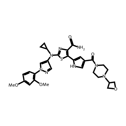 COc1ccc(-n2cc(N(c3nc(C(N)=O)c(-c4cc(C(=O)N5CCN(C6COC6)CC5)c[nH]4)s3)C3CC3)cn2)c(OC)c1